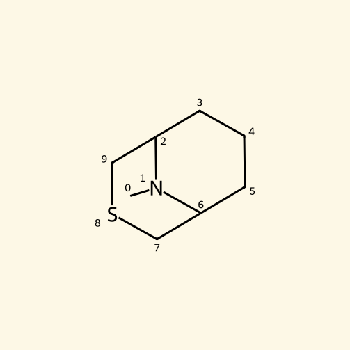 CN1C2CCCC1CSC2